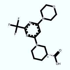 O=C(O)[C@@H]1CCCN(c2cc(N3CCOCC3)nc(C(F)(F)F)n2)C1